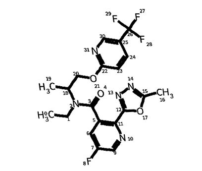 CCN(C(=O)c1cc(F)cnc1-c1nnc(C)o1)C(C)COc1ccc(C(F)(F)F)cn1